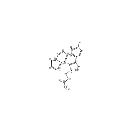 Cc1ccc(-c2cnn(CCC(C)C(F)(F)F)c2)c(-c2ccc3cccnc3c2)n1